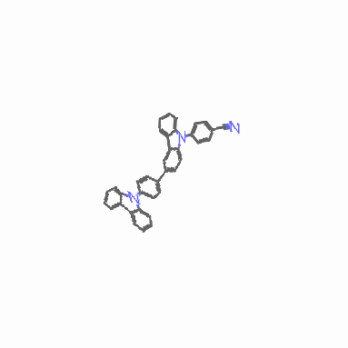 N#Cc1ccc(-n2c3ccccc3c3cc(-c4ccc(-n5c6ccccc6c6ccccc65)cc4)ccc32)cc1